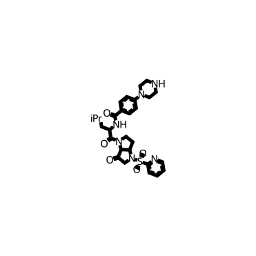 CC(C)CC(NC(=O)c1ccc(N2CCNCC2)cc1)C(=O)N1CCC2C1C(=O)CN2S(=O)(=O)c1ccccn1